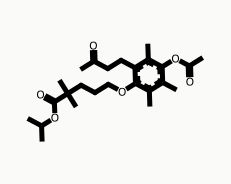 CC(=O)CCc1c(C)c(OC(C)=O)c(C)c(C)c1OCCCC(C)(C)C(=O)OC(C)C